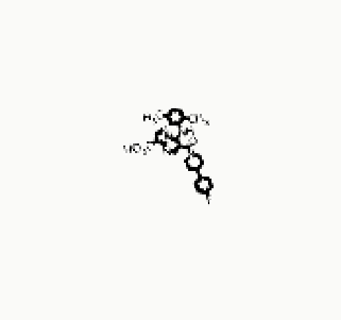 Cc1ccc(C)c(Nc2c(C(=O)N3CC=C(c4ccc(F)cc4)CC3)cnc3c(C(=O)O)cnn23)c1